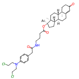 CC(=O)[C@@]1(OC(=O)CCCNC(=O)Cc2ccc(N(CCCl)CCCl)cc2)CC[C@H]2[C@@H]3CCC4=CC(=O)CC[C@]4(C)[C@H]3CC[C@@]21C